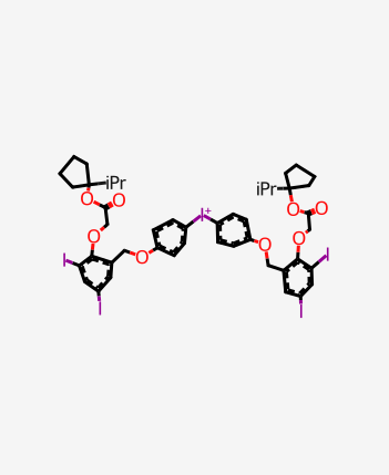 CC(C)C1(OC(=O)COc2c(I)cc(I)cc2COc2ccc([I+]c3ccc(OCc4cc(I)cc(I)c4OCC(=O)OC4(C(C)C)CCCC4)cc3)cc2)CCCC1